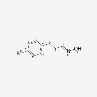 CC(C)c1ccc(CC/C=N/O)cc1